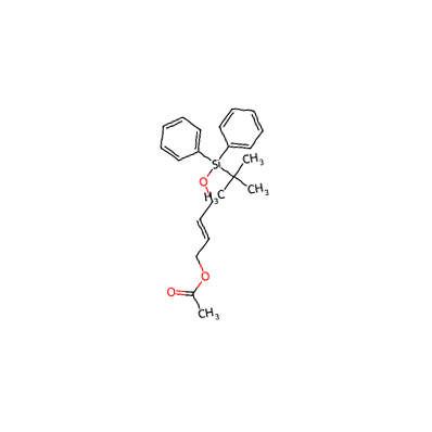 CC(=O)OCC=CCO[Si](c1ccccc1)(c1ccccc1)C(C)(C)C